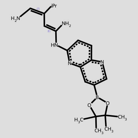 CC(C)C(=C/N)/C=C(\N)Nc1ccc2ncc(B3OC(C)(C)C(C)(C)O3)cc2n1